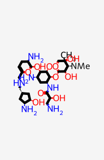 CN[C@@H]1[C@@H](O)[C@@H](O[C@@H]2[C@@H](O)[C@H](O[C@H]3OC(CNC[C@H]4C[C@@H](N)[C@@H](O)C4)=CC[C@H]3N)[C@@H](N)C[C@H]2NC(=O)[C@@H](O)CN)OC[C@]1(C)O